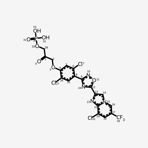 O=C(COc1cc(Cl)c(-c2noc(-c3cn4cc(C(F)(F)F)cc(Cl)c4n3)n2)cc1Cl)COP(=O)(O)O